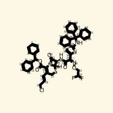 O=C(OC(c1ccccc1)c1ccccc1)C1=C(/C=C/CCl)CS[C@H]2[C@H](NC(=O)/C(=N\OCC(F)F)c3csc(NC(c4ccccc4)(c4ccccc4)c4ccccc4)n3)C(=O)N12